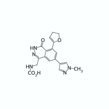 Cn1cc(-c2cc(C3=CCCO3)c3c(=O)[nH]nc(CNC(=O)O)c3c2)cn1